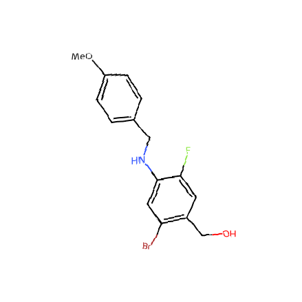 COc1ccc(CNc2cc(Br)c(CO)cc2F)cc1